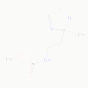 CCCCC1(CCNC(=O)OC(C)(C)C)N=CC=N1